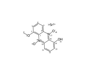 COc1cccc2c1[n+]([O-])c1cccc(O)c1[n+]2[O-].[Sr+2]